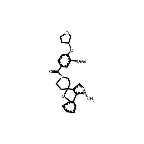 COc1cc(C(=O)N2CCC3(CC2)Oc2ccccc2-c2c3cnn2C)ccc1O[C@H]1CCOC1